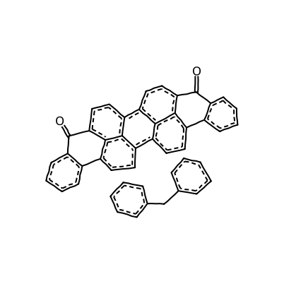 O=C1c2ccccc2-c2ccc3c4ccc5c6c(ccc(c7ccc1c2c73)c64)C(=O)c1ccccc1-5.c1ccc(Cc2ccccc2)cc1